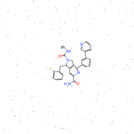 CC(C)NC(=O)N1Cc2c(cc(C(N)=O)nc2-c2cccc(-c3cccnc3)c2)C1Cc1ccccc1F